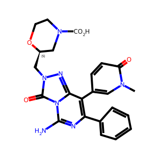 Cn1cc(-c2c(-c3ccccc3)nc(N)n3c(=O)n(C[C@@H]4CN(C(=O)O)CCO4)nc23)ccc1=O